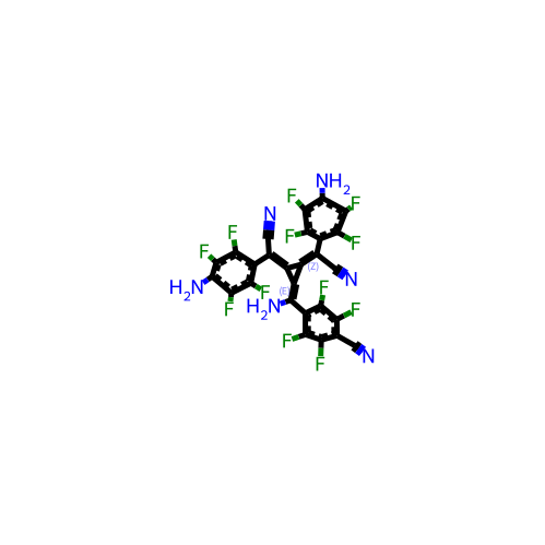 N#CC(=C1C(=C(/C#N)c2c(F)c(F)c(N)c(F)c2F)/C1=C(/N)c1c(F)c(F)c(C#N)c(F)c1F)c1c(F)c(F)c(N)c(F)c1F